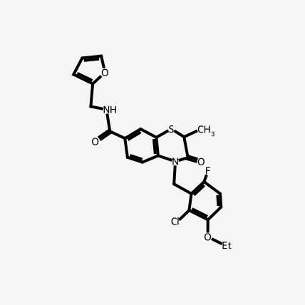 CCOc1ccc(F)c(CN2C(=O)C(C)Sc3cc(C(=O)NCc4ccco4)ccc32)c1Cl